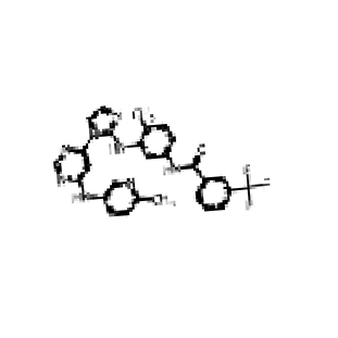 Cc1ccc(Nc2cc(-n3ccnc3Nc3cc(NC(=O)c4cccc(C(F)(F)F)c4)ccc3C)ncn2)cn1